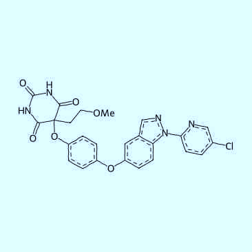 COCCC1(Oc2ccc(Oc3ccc4c(cnn4-c4ccc(Cl)cn4)c3)cc2)C(=O)NC(=O)NC1=O